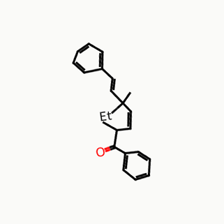 CCC(C)(/C=C\C(C)C(=O)c1ccccc1)/C=C/c1ccccc1